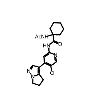 CC(=O)NC1(C(=O)Nc2cc(-c3cnn4c3CCC4)c(Cl)cn2)CCCCC1